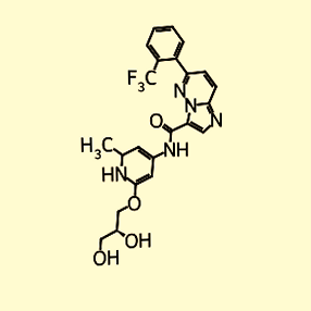 CC1C=C(NC(=O)c2cnc3ccc(-c4ccccc4C(F)(F)F)nn23)C=C(OC[C@@H](O)CO)N1